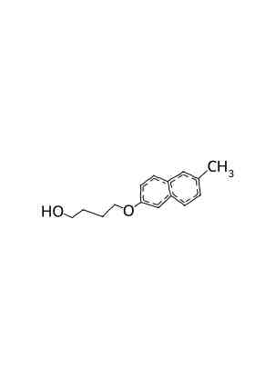 Cc1ccc2cc(OCCCCO)ccc2c1